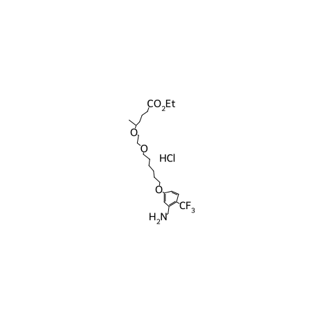 CCOC(=O)CCCC(C)OCCOCCCCCCOc1ccc(C(F)(F)F)c(CN)c1.Cl